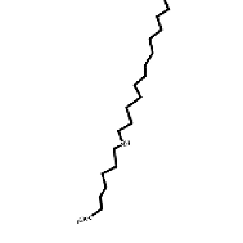 CCCCCCCCCCCCCCCCCCCCCCNCCCCCCCCCCCCCCCC